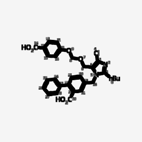 CCCCc1nc(Cl)c(COCOc2ccc(C(=O)O)cc2)n1Cc1ccc(-c2ccccc2)c(C(=O)O)c1